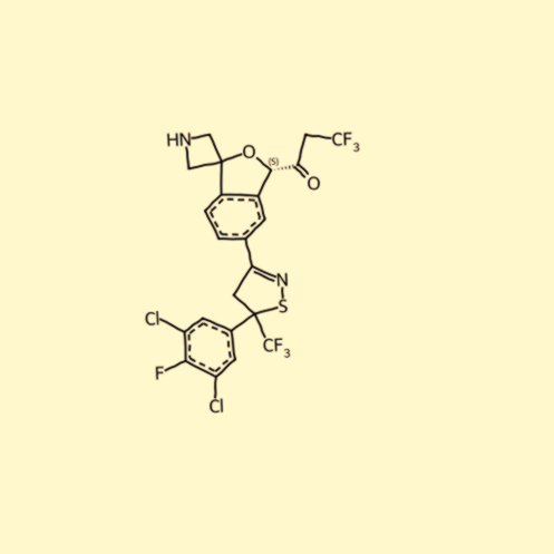 O=C(CC(F)(F)F)[C@H]1OC2(CNC2)c2ccc(C3=NSC(c4cc(Cl)c(F)c(Cl)c4)(C(F)(F)F)C3)cc21